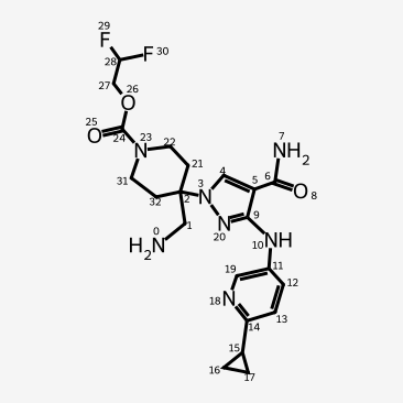 NCC1(n2cc(C(N)=O)c(Nc3ccc(C4CC4)nc3)n2)CCN(C(=O)OCC(F)F)CC1